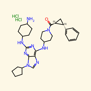 Cl.Cl.NC1CCC(Nc2nc(NC3CCN(C(=O)[C@H]4C[C@@H]4c4ccccc4)CC3)c3ncn(C4CCCC4)c3n2)CC1